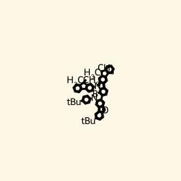 CC(C)(C)c1ccc(N2B3c4cc5c(cc4-n4c6cc7c(cc6c6ccc(c3c64)-c3cc4oc6ccc(C(C)(C)C)cc6c4cc32)-c2ccccc2C7(C)C)C(C)(C)c2ccccc2-5)cc1